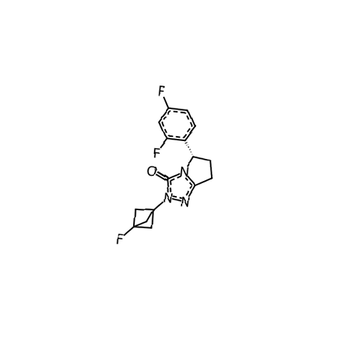 O=c1n(C23CC(F)(C2)C3)nc2n1[C@H](c1ccc(F)cc1F)CC2